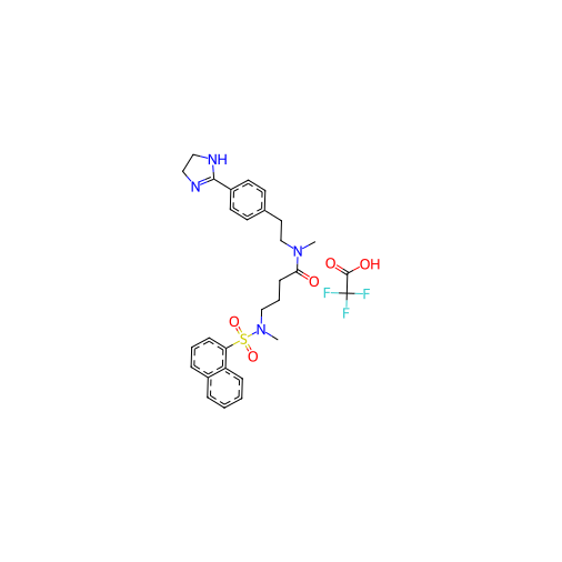 CN(CCc1ccc(C2=NCCN2)cc1)C(=O)CCCN(C)S(=O)(=O)c1cccc2ccccc12.O=C(O)C(F)(F)F